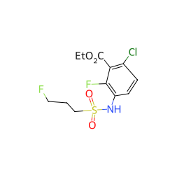 CCOC(=O)c1c(Cl)ccc(NS(=O)(=O)CCCF)c1F